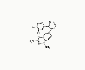 Nc1nc(N)c2ccc(-c3cccnc3-c3ccc(F)c(Cl)c3)cc2n1